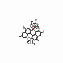 COc1cc(I)c2cc(I)ccc2c1-c1c(OC)cc(I)c2cc(I)cc(OS(=O)(=O)C(F)(F)F)c12